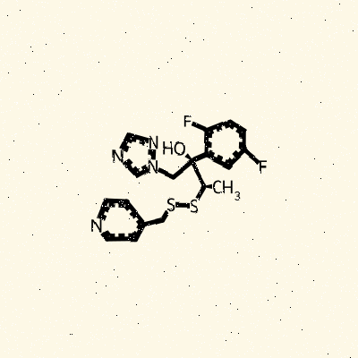 C[C@@H](SSCc1ccncc1)[C@](O)(Cn1cncn1)c1cc(F)ccc1F